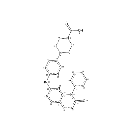 O=C(O)N1CCN(c2ccc(Nc3ncc4ccc(=O)n(-c5ccccc5)c4n3)nc2)CC1